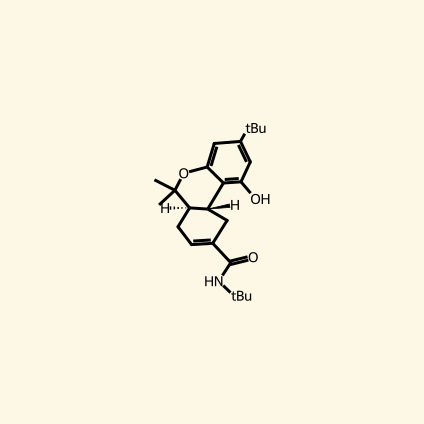 CC(C)(C)NC(=O)C1=CC[C@@H]2[C@@H](C1)c1c(O)cc(C(C)(C)C)cc1OC2(C)C